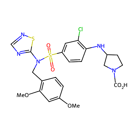 COc1ccc(CN(c2ncns2)S(=O)(=O)c2ccc(NC3CCN(C(=O)O)C3)c(Cl)c2)c(OC)c1